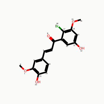 COc1cc(/C=C/C(=O)c2cc(O)cc(OC)c2Br)ccc1O